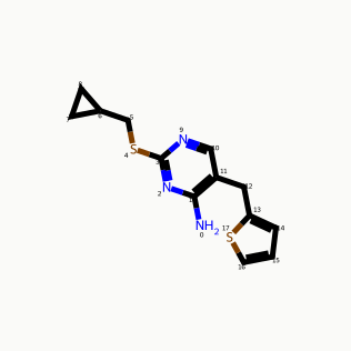 Nc1nc(SCC2CC2)ncc1Cc1cccs1